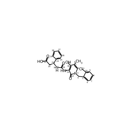 Cc1cn(Cc2ccccc2Cl)c(=O)c(NC(=O)N[C@@H](CC(=O)O)c2ccccc2)c1O